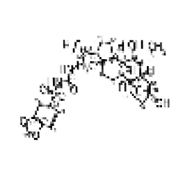 CC[C@H]1[C@@H](O)[C@@H]2[C@H](CC[C@]3(C)[C@@H]([C@H](C)CNC(=O)NS(=O)(=O)c4ccc5c(c4)OCO5)CC[C@@H]23)[C@@]2(C)CC[C@@H](O)C[C@@H]12